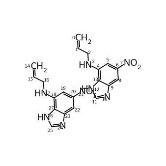 C=CCNc1cc([N+](=O)[O-])cc2nc[nH]c12.C=CCNc1cc([N+](=O)[O-])cc2nc[nH]c12